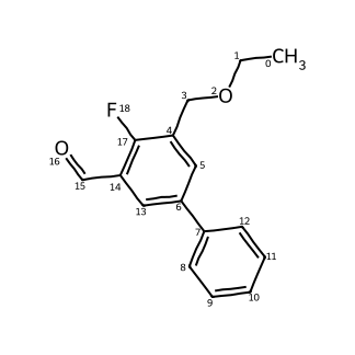 CCOCc1cc(-c2ccccc2)cc(C=O)c1F